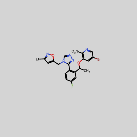 CCc1cc(Cn2cnnc2-c2ccc(F)cc2C(C)Oc2cc(Br)cnc2[N+](=O)[O-])on1